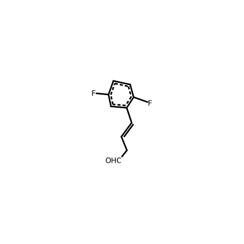 O=CCC=Cc1cc(F)ccc1F